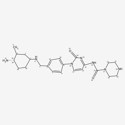 CC1CC(NCc2ccc(-n3ccc(NC(=O)N4CCNCC4)nc3=O)cc2)CC[C@@H]1N